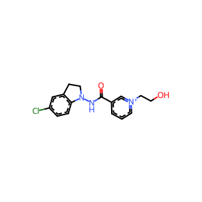 O=C(NN1CCc2cc(Cl)ccc21)c1ccc[n+](CCO)c1